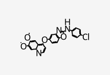 COc1cc2nccc(Oc3ccc4oc(Nc5ccc(Cl)cc5)nc4c3)c2cc1OC